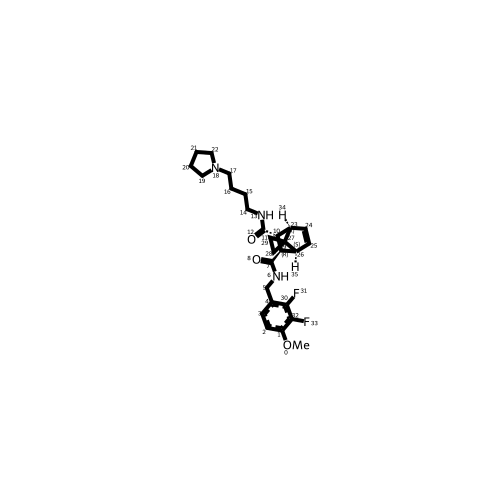 COc1ccc(CNC(=O)[C@H]2[C@H](C(=O)NCCCCN3CCCC3)[C@H]3C=C[C@@H]2C32CC2)c(F)c1F